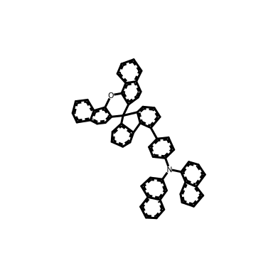 c1ccc2c(c1)-c1c(-c3ccc(N(c4ccc5ccccc5c4)c4cccc5ccccc45)cc3)cccc1C21c2ccc3ccccc3c2Oc2c1ccc1ccccc21